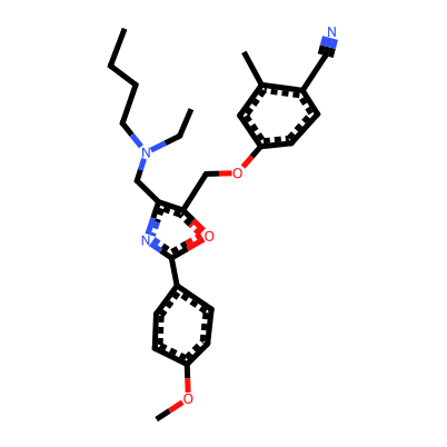 CCCCN(CC)Cc1nc(-c2ccc(OC)cc2)oc1COc1ccc(C#N)c(C)c1